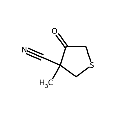 CC1(C#N)CSCC1=O